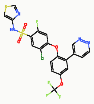 O=S(=O)(Nc1cscn1)c1cc(Cl)c(Oc2ccc(OC(F)(F)F)cc2-c2ccnnc2)cc1F